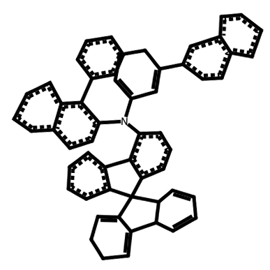 C1=CC2C3=CCCC=C3C3(c4ccccc4-c4c(N(C5=CCCC(c6ccc7ccccc7c6)=C5)c5ccc6ccccc6c5-c5ccccc5)cccc43)C2C=C1